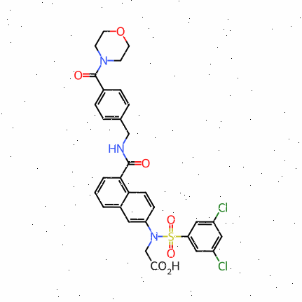 O=C(O)CN(c1ccc2c(C(=O)NCc3ccc(C(=O)N4CCOCC4)cc3)cccc2c1)S(=O)(=O)c1cc(Cl)cc(Cl)c1